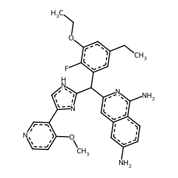 CCOc1cc(CC)cc(C(c2cc3cc(N)ccc3c(N)n2)c2nc(-c3cnccc3OC)c[nH]2)c1F